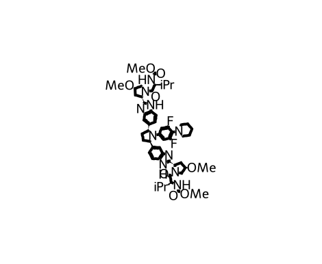 COC(=O)N[C@H](C(=O)N1C[C@H](OC)C[C@H]1c1nc2cc([C@H]3CC[C@H](c4ccc5[nH]c([C@@H]6C[C@@H](OC)CN6C(=O)[C@@H](NC(=O)OC)C(C)C)nc5c4)N3c3cc(F)c(N4CCCCC4)c(F)c3)ccc2[nH]1)C(C)C